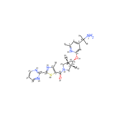 Cc1cc(C(C)(C)N)cc(O[C@H]2[C@@H]3CN(C(=O)c4sc(-c5ncccn5)nc4C)C[C@@H]32)n1